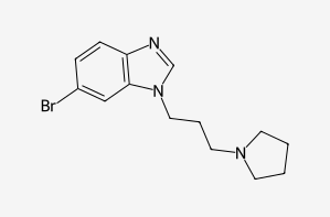 Brc1ccc2ncn(CCCN3CCCC3)c2c1